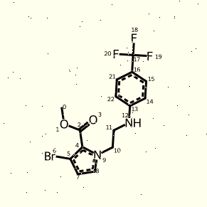 COC(=O)c1c(Br)ccn1CCNc1ccc(C(F)(F)F)cc1